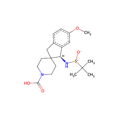 COc1ccc2c(c1)[C@@H](N[S+]([O-])C(C)(C)C)C1(CCN(C(=O)O)CC1)C2